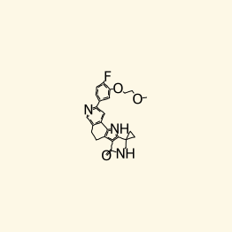 COCCOc1cc(-c2cc3c(cn2)CCc2c-3[nH]c3c2C(=O)NCC32CC2)ccc1F